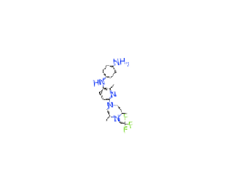 Cc1nc(N2CC(C)N(CC(F)(F)F)C(C)C2)ccc1NC1CCC(N)CC1